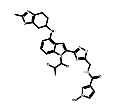 Cc1nc2c(s1)CC(Nc1cccc3c1cc(-c1noc(CNC(=O)c4ccn(C(C)(C)C)c4)n1)n3C(F)C(F)F)CC2